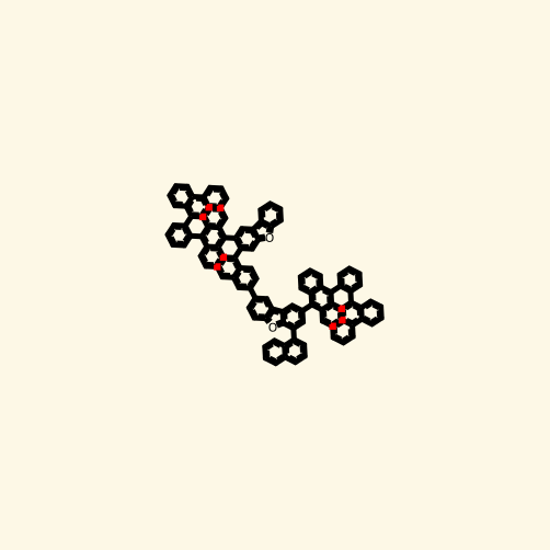 c1ccc(-c2cc3ccccc3c3ccccc23)c(-c2c3ccccc3c(-c3cc(-c4cccc5ccccc45)c4oc5ccc(-c6ccc7c(-c8cc9oc%10ccccc%10c9cc8-c8c9ccccc9c(-c9ccccc9-c9cc%10ccccc%10c%10ccccc9%10)c9ccccc89)cccc7c6)cc5c4c3)c3ccccc23)c1